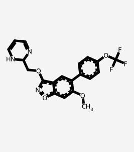 COc1cc2onc(OCC3N=CC=CN3)c2cc1-c1ccc(OC(F)(F)F)cc1